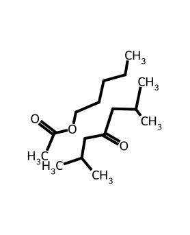 CC(C)CC(=O)CC(C)C.CCCCCOC(C)=O